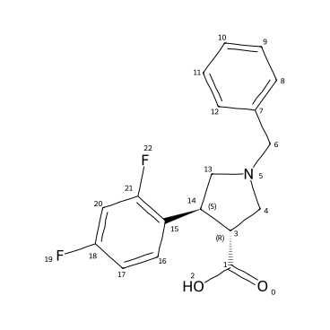 O=C(O)[C@H]1CN(Cc2ccccc2)C[C@@H]1c1ccc(F)cc1F